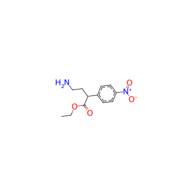 CCOC(=O)C(CCN)c1ccc([N+](=O)[O-])cc1